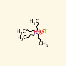 CCCC[N+](CCCC)(CCCC)CCCC.O.O.[F-]